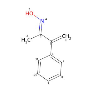 C=C(/C(C)=N/O)c1ccccc1